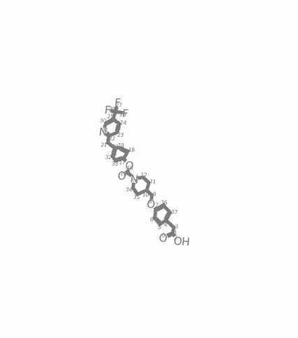 O=C(O)Cc1ccc(OCC2CCN(C(=O)Oc3ccc(Cc4ccc(C(F)(F)F)cn4)cc3)CC2)cc1